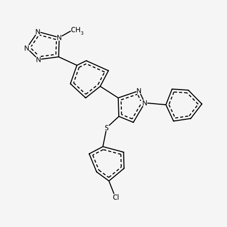 Cn1nnnc1-c1ccc(-c2nn(-c3ccccc3)cc2Sc2ccc(Cl)cc2)cc1